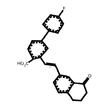 O=C(O)c1ccc(-c2ccc(F)cc2)cc1/C=C/c1ccc2c(c1)C(=O)CCC2